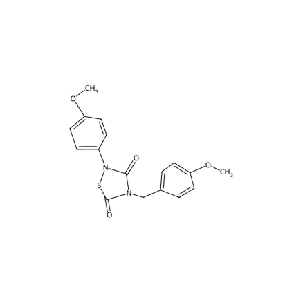 COc1ccc(Cn2c(=O)sn(-c3ccc(OC)cc3)c2=O)cc1